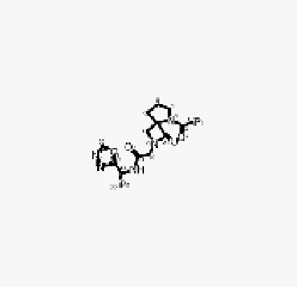 CC(C)C(=O)N1CCCC12CN(CC(=O)NC(c1nnco1)C(C)C)C2=O